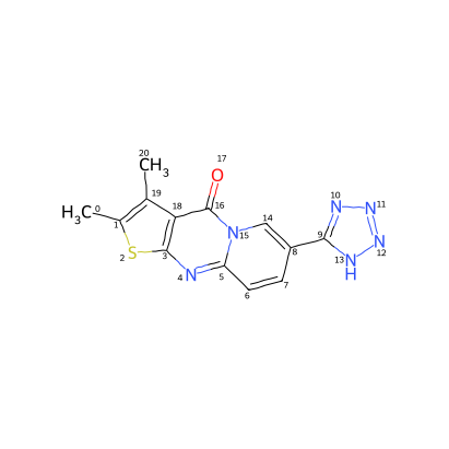 Cc1sc2nc3ccc(-c4nnn[nH]4)cn3c(=O)c2c1C